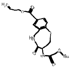 C=CCOC(=O)c1ccc2c(c1)NC(=O)C(NC(=O)OC(C)(C)C)CS2